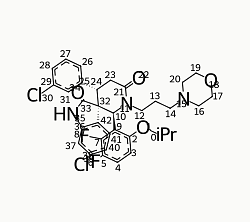 CC(C)Oc1ccc(F)c(F)c1[C@@H]1N(CCCN2CCOCC2)C(=O)C[C@@H](c2cccc(Cl)c2)[C@]12C(=O)Nc1cc(Cl)ccc12